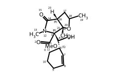 COC(=O)[C@]1(C(O)[C@@H]2C=CCCC2)N(C)C(=O)[C@@H]2CC(C)O[C@@]21C